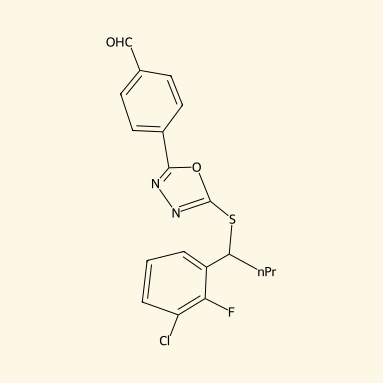 CCCC(Sc1nnc(-c2ccc(C=O)cc2)o1)c1cccc(Cl)c1F